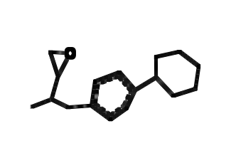 CC(Cc1ccc(C2CCCCC2)cc1)C1CO1